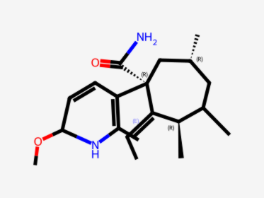 C/C=C1\[C@H](C)C(C)C[C@@H](C)C[C@]1(C(N)=O)C1=C(C)NC(OC)C=C1